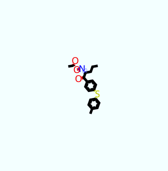 CCC/C(=N/OC(C)=O)C(=O)c1ccc(Sc2ccc(C)cc2)cc1